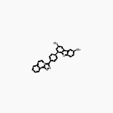 CC(C)(C)c1ccc2oc3c(-c4ccc(-c5nnc6c7ccccc7ccn56)cc4)cc(C(C)(C)C)cc3c2c1